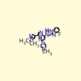 CC(C)n1cc(-c2cnc3c(NCc4nc5c(F)cccc5[nH]4)cc(N4CCN(C)CC4)nn23)cn1